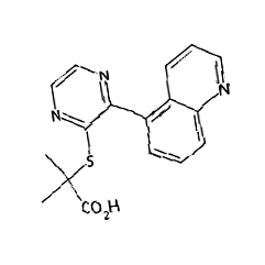 CC(C)(Sc1nccnc1-c1cccc2ncccc12)C(=O)O